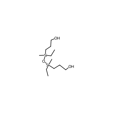 CC[Si](C)(CCCO)O[Si](C)(CC)CCCO